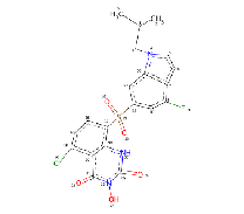 CC(C)Cn1ccc2c(F)cc(S(=O)(=O)c3ccc(Cl)c4c(=O)n(O)c(=O)[nH]c34)cc21